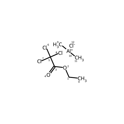 CCOC(=O)C(Cl)(Cl)Cl.[CH3][Al+][CH3].[Cl-]